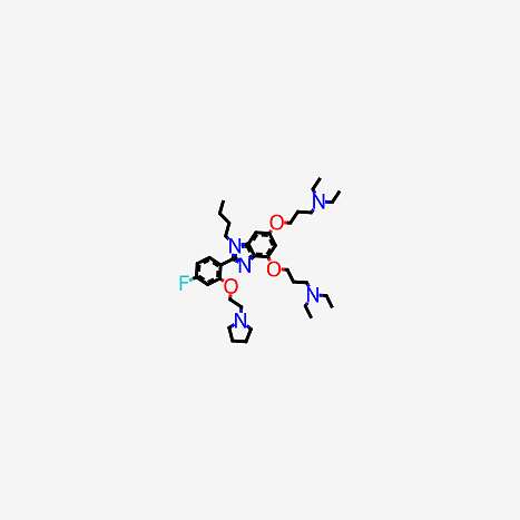 CCCCn1c(-c2ccc(F)cc2OCCN2CCCC2)nc2c(OCCCN(CC)CC)cc(OCCCN(CC)CC)cc21